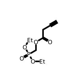 C#CCC(=O)OCP(=O)(OCC)OCC